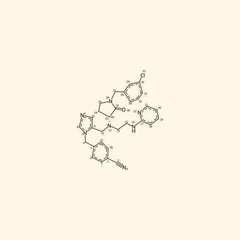 N#Cc1ccc(Cn2cncc2CN(CCNc2ccccn2)[C@@H]2CCN(Cc3cccc(Cl)c3)C2=O)cc1